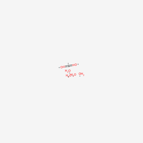 O.O.O.O.O=[Si]=O